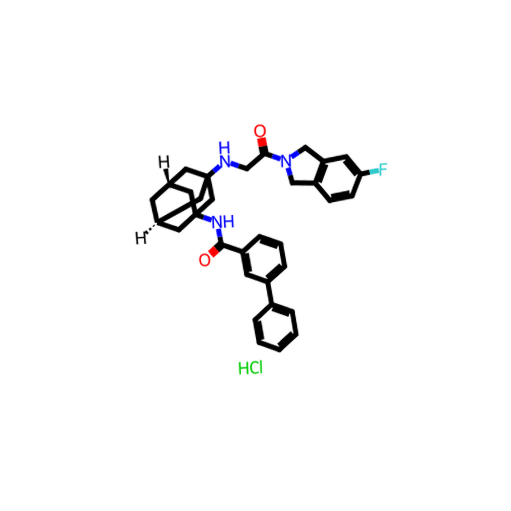 Cl.O=C(NC12C[C@@H]3C[C@@H](CC(NCC(=O)N4Cc5ccc(F)cc5C4)(C3)C1)C2)c1cccc(-c2ccccc2)c1